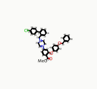 COC(=O)c1ccc(N2CCN(Cc3ccccc3-c3ccc(Cl)cc3)CC2)cc1Oc1ccc(OCc2ccccc2)cc1